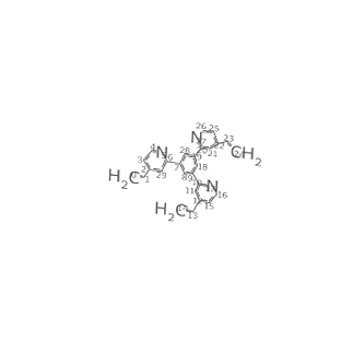 C=Cc1ccnc(-c2cc(-c3cc(C=C)ccn3)cc(-c3cc(C=C)ccn3)c2)c1